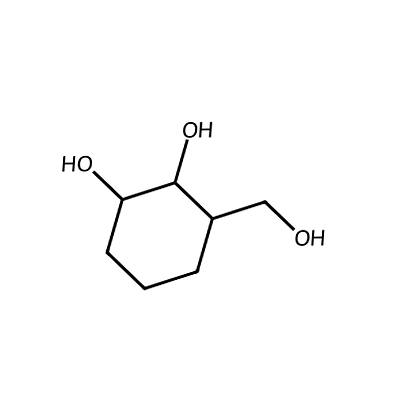 OCC1CCCC(O)C1O